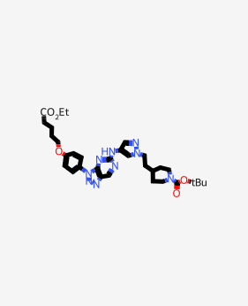 CCOC(=O)CCCCOc1ccc(-n2nnc3cnc(Nc4cnn(CCC5CCN(C(=O)OC(C)(C)C)CC5)c4)nc32)cc1